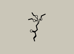 CC=CC(=O)CCC[Si](OCC)(OCC)OCC